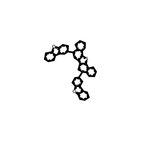 c1ccc2c(c1)oc1ccc(-c3cc4c5cc(-c6ccc7oc8ccccc8c7c6)c6ccccc6c5sc4c4ccccc34)cc12